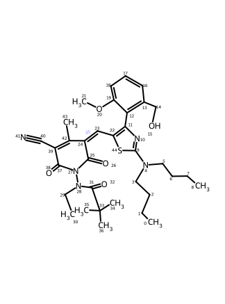 CCCCN(CCCC)c1nc(-c2c(CO)cccc2OC)c(/C=C2\C(=O)N(N(CC)C(=O)C(C)(C)C)C(=O)C(C#N)=C2C)s1